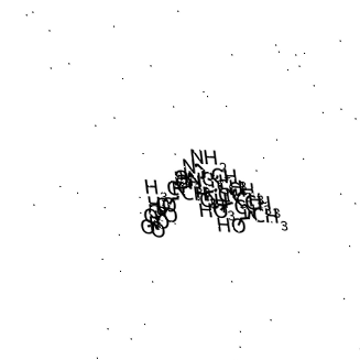 C[N+](C)(C)CCO.C[N+](C)(C)CCO.C[N+](C)(C)CCO.C[N+](C)(C)CCO.Nc1cc[nH]c(=O)n1.O=P([O-])([O-])OP(=O)([O-])[O-]